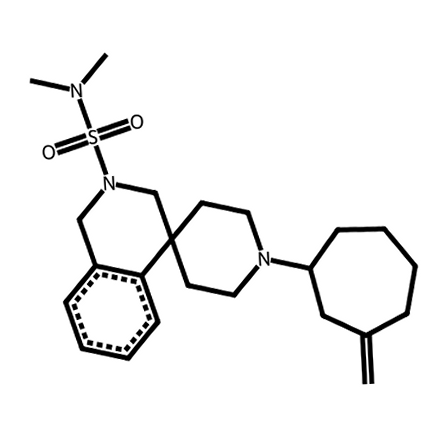 C=C1CCCCC(N2CCC3(CC2)CN(S(=O)(=O)N(C)C)Cc2ccccc23)C1